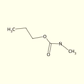 CCCOC(=O)[N]C